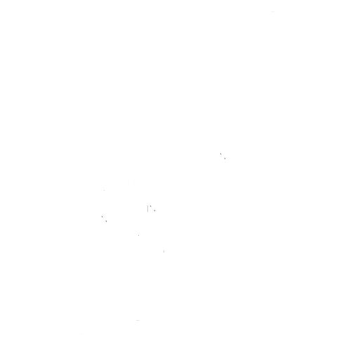 O=C(NCCCN1CCC(c2ccc(F)cc2)CC1)C(c1ccc(F)c(F)c1)N1CCCC1=O